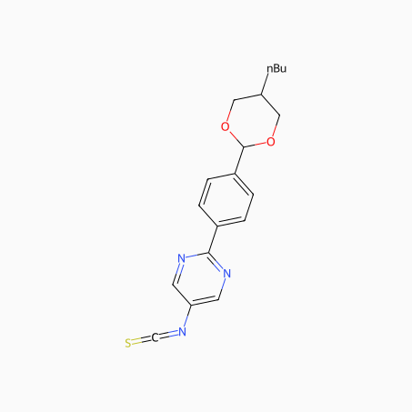 CCCCC1COC(c2ccc(-c3ncc(N=C=S)cn3)cc2)OC1